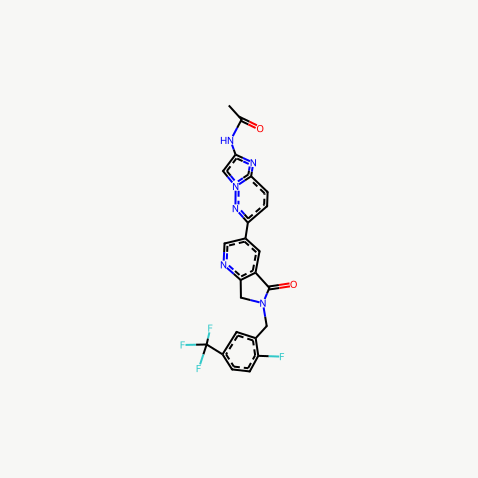 CC(=O)Nc1cn2nc(-c3cnc4c(c3)C(=O)N(Cc3cc(C(F)(F)F)ccc3F)C4)ccc2n1